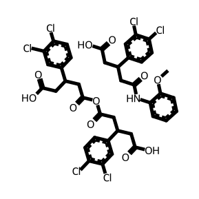 COc1ccccc1NC(=O)CC(CC(=O)O)c1ccc(Cl)c(Cl)c1.O=C(O)CC(CC(=O)OC(=O)CC(CC(=O)O)c1ccc(Cl)c(Cl)c1)c1ccc(Cl)c(Cl)c1